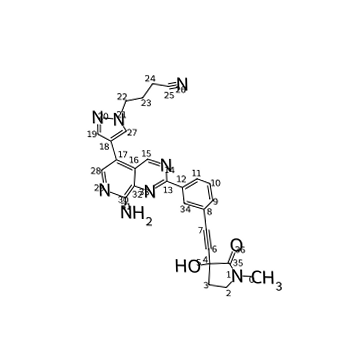 CN1CCC(O)(C#Cc2cccc(-c3ncc4c(-c5cnn(CCCC#N)c5)cnc(N)c4n3)c2)C1=O